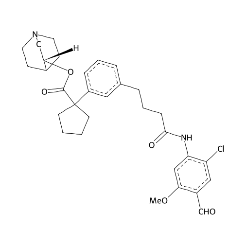 COc1cc(NC(=O)CCCc2cccc(C3(C(=O)O[C@H]4CN5CCC4CC5)CCCC3)c2)c(Cl)cc1C=O